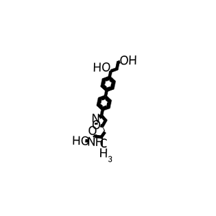 C[C@@H](C[C@H]1CC(c2ccc(-c3ccc(C(O)CCO)cc3)cc2)=NO1)C(=O)NO